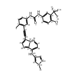 Cc1ccc(NC(=O)Nc2ccc(Cl)c(C(F)(F)F)c2)cc1C#Cc1cnc2c(Nc3cnn(C)c3)ccnn12